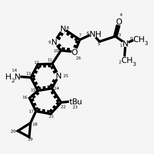 CN(C)C(=O)CNc1nnc(-c2cc(N)c3cc(C4CC4)cc(C(C)(C)C)c3n2)o1